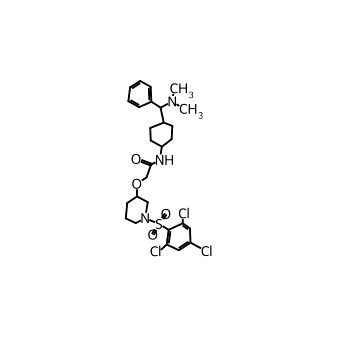 CN(C)C(c1ccccc1)C1CCC(NC(=O)COC2CCCN(S(=O)(=O)c3c(Cl)cc(Cl)cc3Cl)C2)CC1